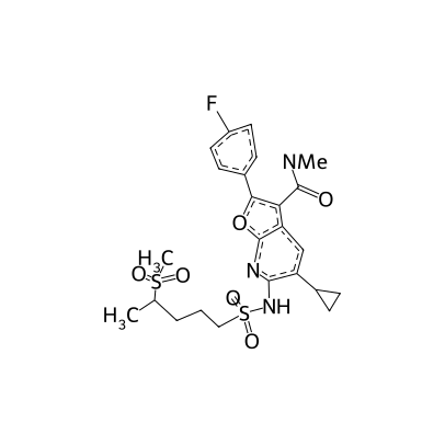 CNC(=O)c1c(-c2ccc(F)cc2)oc2nc(NS(=O)(=O)CCCC(C)S(C)(=O)=O)c(C3CC3)cc12